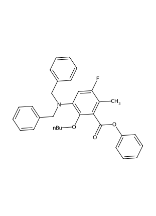 CCCCOc1c(N(Cc2ccccc2)Cc2ccccc2)cc(F)c(C)c1C(=O)Oc1ccccc1